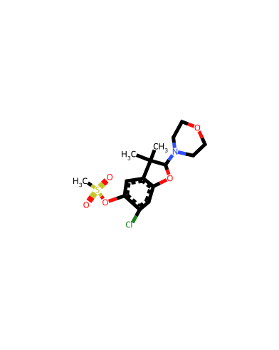 CC1(C)c2cc(OS(C)(=O)=O)c(Cl)cc2OC1N1CCOCC1